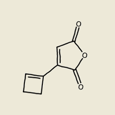 O=C1C=C(C2=CCC2)C(=O)O1